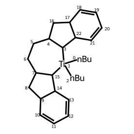 CCC[CH2][Ti]1([CH2]CCC)[CH]2C(CCC3CC4C=CC=CC4[CH]31)CC1C=CC=CC12